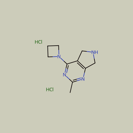 Cc1nc2c(c(N3CCC3)n1)CNC2.Cl.Cl